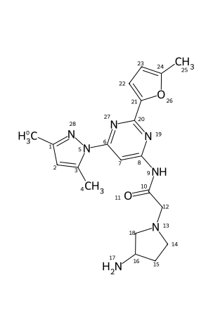 Cc1cc(C)n(-c2cc(NC(=O)CN3CCC(N)C3)nc(-c3ccc(C)o3)n2)n1